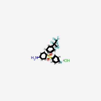 Cl.N[C@H]1CC[C@@](c2ccc(C(F)(C(F)(F)F)C(F)(F)F)cc2)(S(=O)(=O)c2ccc(F)cc2)CC1